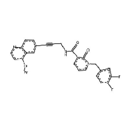 CC(C)Oc1ccnc2ccc(C#CCNC(=O)c3cccn(Cc4ccc(F)c(F)c4)c3=O)cc12